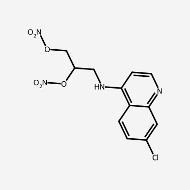 O=[N+]([O-])OCC(CNc1ccnc2cc(Cl)ccc12)O[N+](=O)[O-]